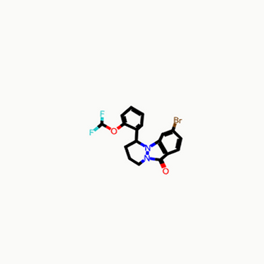 O=c1c2ccc(Br)cc2n2n1CCCC2c1ccccc1OC(F)F